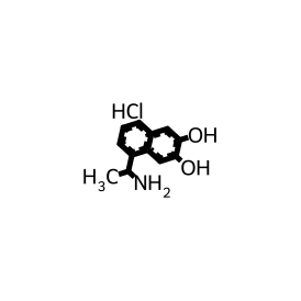 CC(N)c1cccc2cc(O)c(O)cc12.Cl